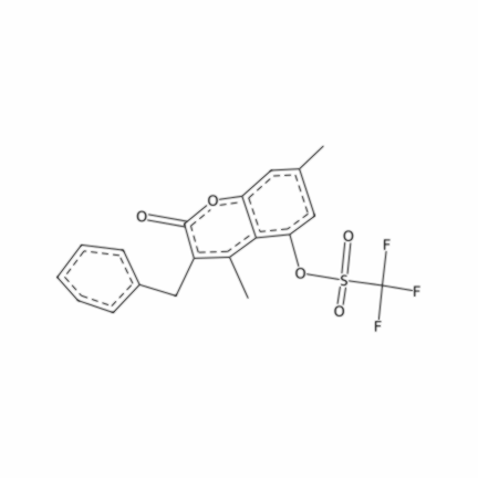 Cc1cc(OS(=O)(=O)C(F)(F)F)c2c(C)c(Cc3ccccc3)c(=O)oc2c1